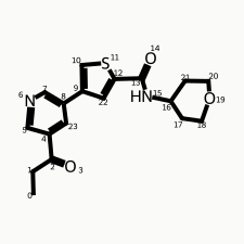 CCC(=O)c1cncc(-c2csc(C(=O)NC3CCOCC3)c2)c1